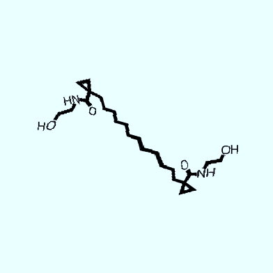 O=C(NCCO)C1(CCCCCCCCCCCCC2(C(=O)NCCO)CC2)CC1